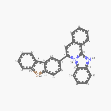 c1ccc2c(c1)cc(-c1ccc3sc4ccccc4c3c1)n1c3ccccc3nc21